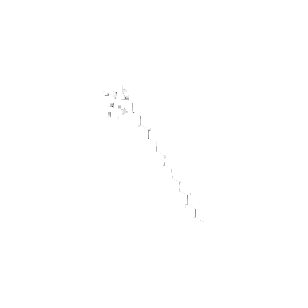 CCCCCCCCCCCCCCCCCCCC(F)[Si](OC)(OC)OC